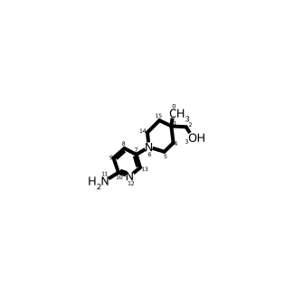 CC1(CO)CCN(c2ccc(N)nc2)CC1